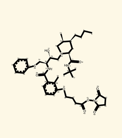 CCCC[C@H]1C[C@@H](C(=O)NC(C)(C)C)N(C[C@@H](O)[C@H](CSc2ccccc2)NC(=O)c2cccc(OCCCC(=O)ON3C(=O)CCC3=O)c2C)C[C@H]1C